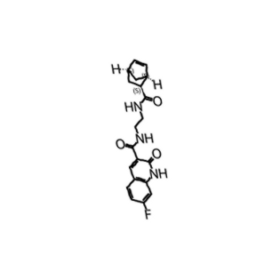 O=C(NCCNC(=O)[C@H]1C[C@H]2C=C[C@@H]1C2)c1cc2ccc(F)cc2[nH]c1=O